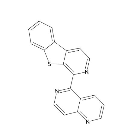 c1ccc2c(c1)sc1c(-c3nccc4ncccc34)nccc12